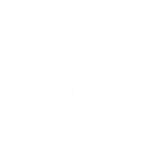 CCS(=O)(=O)c1ccc(/N=N/c2c(NCS(=O)(=O)O)ccc3c(O)c(/N=N/c4cc(S(=O)(=O)CC)ccc4O)ccc23)cc1